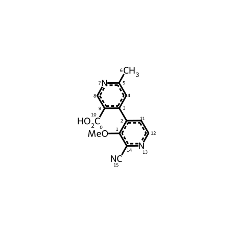 COc1c(-c2cc(C)ncc2C(=O)O)ccnc1C#N